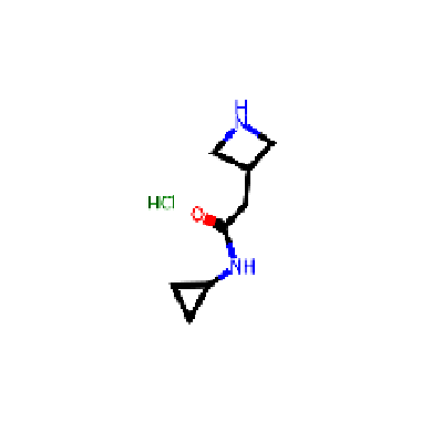 Cl.O=C(CC1CNC1)NC1CC1